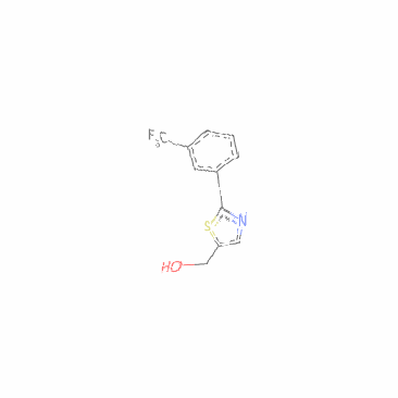 OCc1cnc(-c2cccc(C(F)(F)F)c2)s1